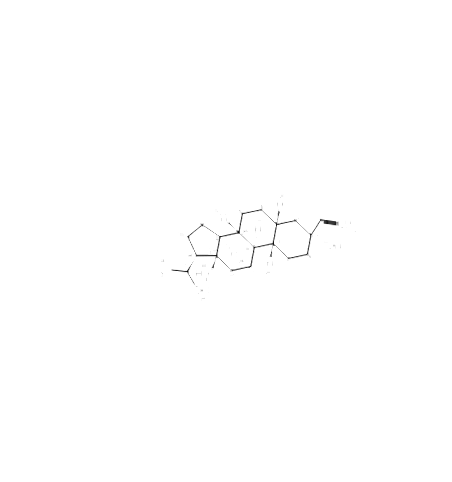 C=C[C@@]1(O)CC[C@H]2[C@H](CC[C@@H]3[C@@H]2CC[C@]2(C)[C@@H](C(C)O)CC[C@@H]32)C1